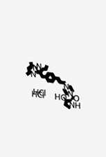 CCc1nn2c(C)cc(C)nc2c1Cc1ccc(/C=C/CN2CCN(C(=O)[C@H]3NCC[C@H]3O)CC2)cc1.Cl.Cl